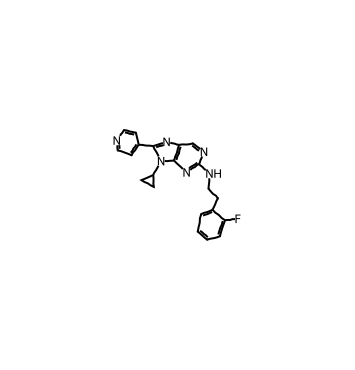 Fc1ccccc1CCNc1ncc2nc(-c3ccncc3)n(C3CC3)c2n1